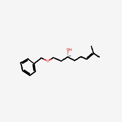 CC(C)=CCC[C@@H](O)CCOCc1ccccc1